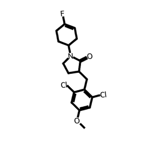 COc1cc(Cl)c(CC2CCN(C3CC=C(F)CC3)C2=O)c(Cl)c1